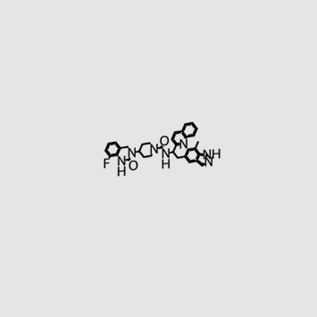 Cc1cc(CC(NC(=O)N2CCC(N3Cc4cccc(F)c4NC3=O)CC2)c2ccc3ccccc3n2)cc2cn[nH]c12